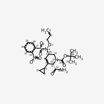 C=CCON([C@@H]1C=C(C2CC2)[C@@H](C(N)=O)N(C(=O)OC(C)(C)C)C1)S(=O)(=O)c1ccccc1[N+](=O)[O-]